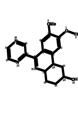 CCOc1cc2c(cc1OC)C(c1cnccn1)=NC1CCC(O)CC21